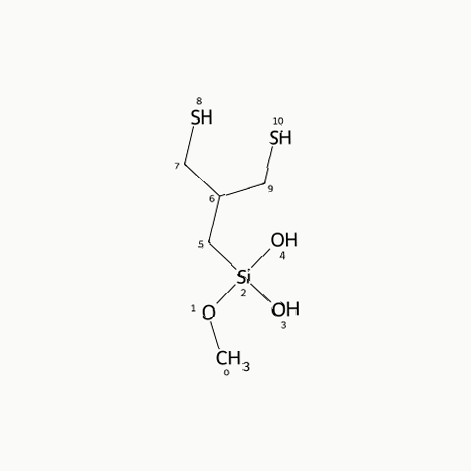 CO[Si](O)(O)CC(CS)CS